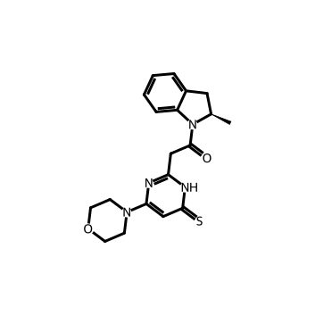 C[C@@H]1Cc2ccccc2N1C(=O)Cc1nc(N2CCOCC2)cc(=S)[nH]1